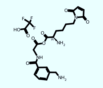 NCc1cccc(C(=O)NCC(=O)OC(=O)[C@H](N)CCCCN2C(=O)C=CC2=O)c1.O=C(O)C(F)(F)F